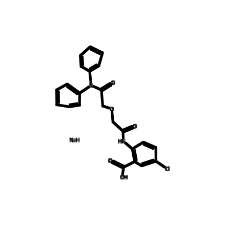 O=C(COCC(=O)N(c1ccccc1)c1ccccc1)Nc1ccc(Cl)cc1C(=O)O.[NaH]